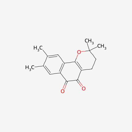 Cc1cc2c(cc1C)C1=C(CCC(C)(C)O1)C(=O)C2=O